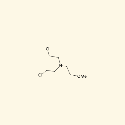 COCCN(CCCl)CCCl